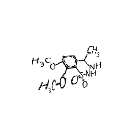 COc1ccc2c(c1OC)S(=O)(=O)NNC2C